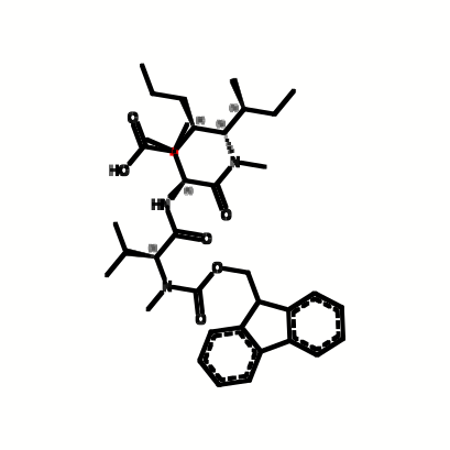 CCC[C@H](CC(=O)O)[C@H]([C@@H](C)CC)N(C)C(=O)[C@@H](NC(=O)[C@H](C(C)C)N(C)C(=O)OCC1c2ccccc2-c2ccccc21)C(C)C